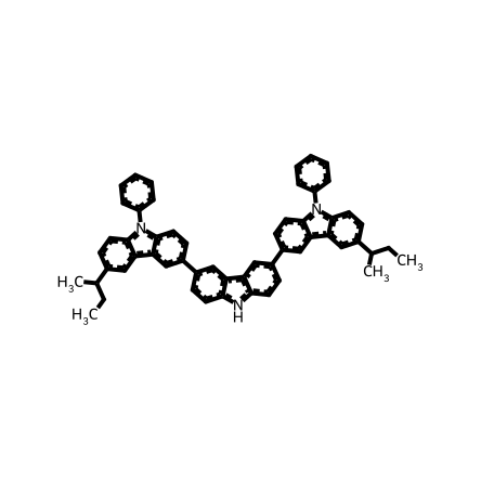 CCC(C)c1ccc2c(c1)c1cc(-c3ccc4[nH]c5ccc(-c6ccc7c(c6)c6cc(C(C)CC)ccc6n7-c6ccccc6)cc5c4c3)ccc1n2-c1ccccc1